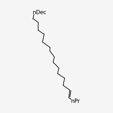 CCC/C=C/CCCCCCCCCCCCCCCCCCCCCCC